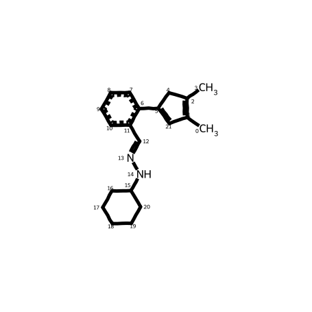 CC1=C(C)CC(c2ccccc2C=NNC2CCCCC2)=C1